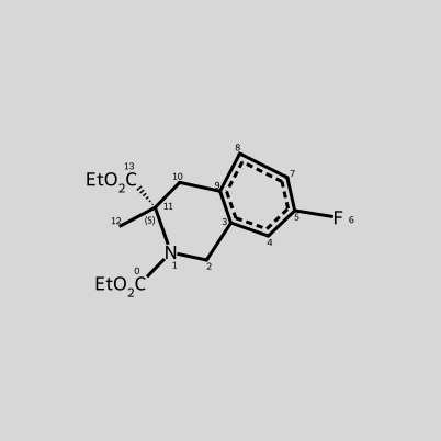 CCOC(=O)N1Cc2cc(F)ccc2C[C@@]1(C)C(=O)OCC